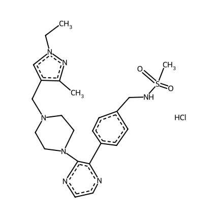 CCn1cc(CN2CCN(c3nccnc3-c3ccc(CNS(C)(=O)=O)cc3)CC2)c(C)n1.Cl